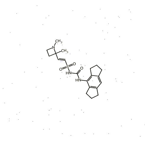 CN1CCC1(C)/C=C/S(=O)(=O)NC(=O)Nc1c2c(cc3c1CCC3)CCC2